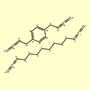 O=C=NCCCCCCCCN=C=O.O=C=NCc1ccc(CN=C=O)cc1